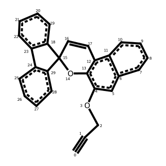 C#CCOc1cc2ccccc2c2c1OC1(C=C2)c2ccccc2-c2ccccc21